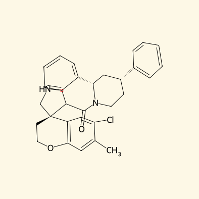 Cc1cc2c(cc1Cl)[C@]1(CCO2)CNCC1C(=O)N1CC[C@@H](c2ccccc2)C[C@H]1c1ccccc1